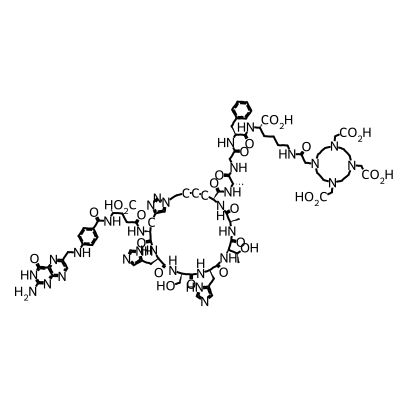 C[C@H](NC(=O)[C@@H]1CCCCn2cc(nn2)C[C@H](NC(=O)CC[C@H](NC(=O)c2ccc(NCc3cnc4nc(N)[nH]c(=O)c4n3)cc2)C(=O)O)C(=O)N[C@H](Cc2cnc[nH]2)C(=O)N[C@H](CO)C(=O)N[C@H](Cc2cnc[nH]2)C(=O)N[C@H]([C@H](C)O)C(=O)N[C@H](C)C(=O)N1)C(=O)NCC(=O)N[C@@H](Cc1ccccc1)C(=O)N[C@@H](CCCCNC(=O)CN1CCN(CC(=O)O)CCN(CC(=O)O)CCN(CC(=O)O)CC1)C(=O)O